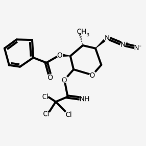 C[C@@H]1[C@@H](N=[N+]=[N-])COC(OC(=N)C(Cl)(Cl)Cl)[C@H]1OC(=O)c1ccccc1